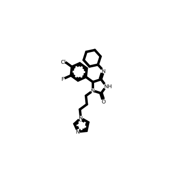 O=C1N/C(=N/C2CCCCC2)C(c2ccc(Cl)c(F)c2)N1CCCn1ccnc1